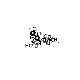 C=CC(=O)N1[C@H](C)CN(c2nc(=O)n3c4c(c(-c5cc(Cl)c(F)cc5F)c(C(F)(F)F)cc24)SC[C@@H]3CO)C[C@@H]1C